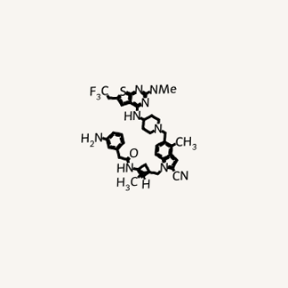 CNc1nc(NC2CCN(Cc3ccc4c(cc(C#N)n4CC45CC(NC(=O)Cc6cccc(N)c6)(C4)[C@H]5C)c3C)CC2)c2cc(CC(F)(F)F)sc2n1